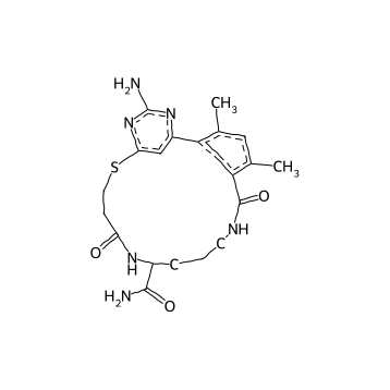 Cc1cc(C)c2cc1C(=O)NCCCC(C(N)=O)NC(=O)CCSc1cc-2nc(N)n1